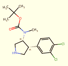 CN(C(=O)OC(C)(C)C)[C@H]1CNC[C@H]1c1ccc(Cl)c(Cl)c1